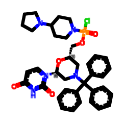 O=c1ccn([C@H]2CN(C(c3ccccc3)(c3ccccc3)c3ccccc3)C[C@@H](COP(=O)(Cl)N3CCC(N4CCCC4)CC3)O2)c(=O)[nH]1